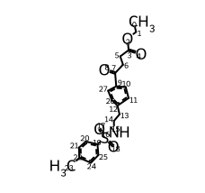 CCOC(=O)CCC(=O)c1ccc(CCNS(=O)(=O)c2ccc(C)cc2)cc1